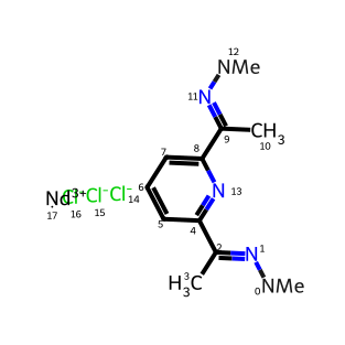 CNN=C(C)c1cccc(C(C)=NNC)n1.[Cl-].[Cl-].[Cl-].[Nd+3]